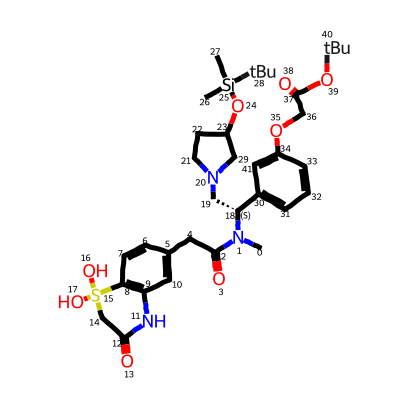 CN(C(=O)Cc1ccc2c(c1)NC(=O)CS2(O)O)[C@H](CN1CCC(O[Si](C)(C)C(C)(C)C)C1)c1cccc(OCC(=O)OC(C)(C)C)c1